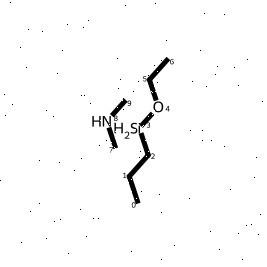 CCC[SiH2]OCC.CNC